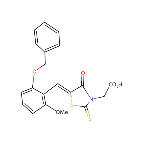 COc1cccc(OCc2ccccc2)c1C=C1SC(=S)N(CC(=O)O)C1=O